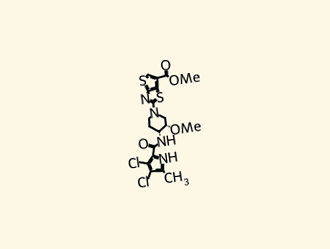 COC(=O)c1csc2nc(N3CC[C@@H](NC(=O)c4[nH]c(C)c(Cl)c4Cl)[C@@H](OC)C3)sc12